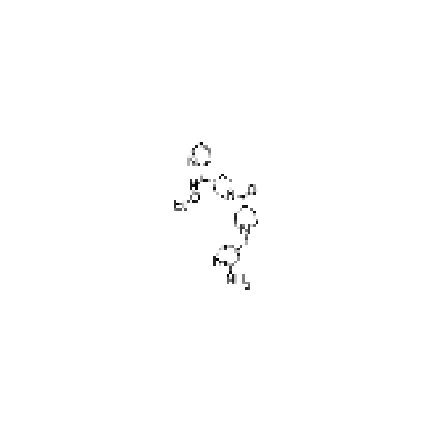 CCO/N=C(/c1ccccn1)C1CCN(C(=O)C2CCN(Cc3ccnc(N)c3)CC2)CC1